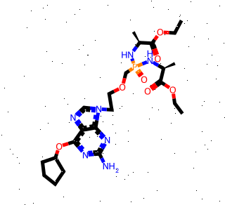 CCOC(=O)[C@H](C)NP(=O)(COCCn1cnc2c(OC3CCCC3)nc(N)nc21)N[C@@H](C)C(=O)OCC